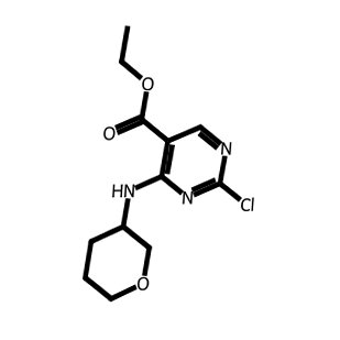 CCOC(=O)c1cnc(Cl)nc1NC1CCCOC1